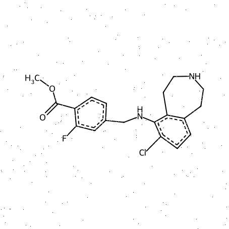 COC(=O)c1ccc(CNc2c(Cl)ccc3c2CCNCC3)cc1F